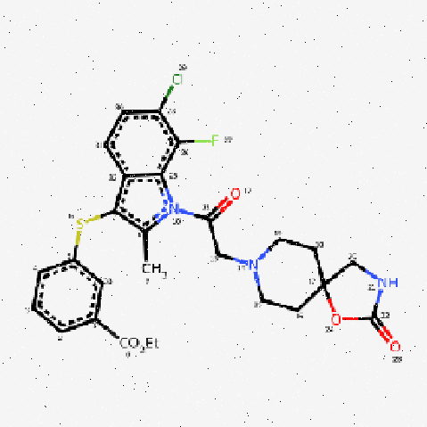 CCOC(=O)c1cccc(Sc2c(C)n(C(=O)CN3CCC4(CC3)CNC(=O)O4)c3c(F)c(Cl)ccc23)c1